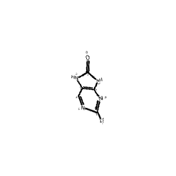 O=c1[nH]c2cnc(Cl)nc2[nH]1